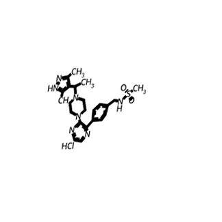 Cc1n[nH]c(C)c1C(C)N1CCN(c2nccnc2-c2ccc(CNS(C)(=O)=O)cc2)CC1.Cl